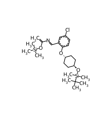 C=C(/N=C/c1cc(Cl)ccc1O[C@H]1CC[C@H](O[Si](C)(C)C(C)(C)C)CC1)O[Si](C)(C)C